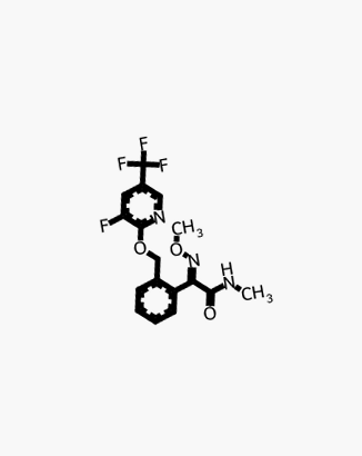 CNC(=O)/C(=N/OC)c1ccccc1COc1ncc(C(F)(F)F)cc1F